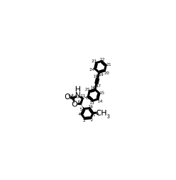 Cc1cccc([C@@H]2OC(=O)N[C@@H]2c2cccc(C#Cc3ccccc3)c2)c1